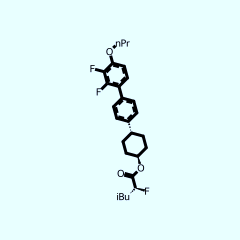 CCCOc1ccc(-c2ccc([C@H]3CC[C@H](OC(=O)[C@@H](F)[C@@H](C)CC)CC3)cc2)c(F)c1F